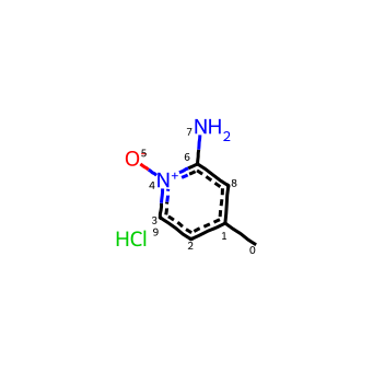 Cc1cc[n+]([O-])c(N)c1.Cl